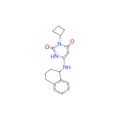 O=c1cc(NC2CCCc3ccccc32)[nH]c(=O)n1C1CCC1